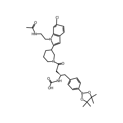 CC(=O)NCCn1c(C2CCCN(C(=O)C[C@@H](Cc3ccc(B4OC(C)(C)C(C)(C)O4)cc3)NC(=O)O)C2)cc2ccc(Cl)cc21